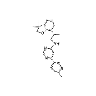 Cc1ccc(-c2cc(NCC(C)c3ccnc4c3OCC4(C)C)ncn2)cn1